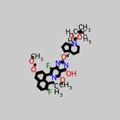 CCc1c(F)ccc2cc(OCOC)cc(-c3nc(OC)c4c(O)nc(OC[C@]56CCC[C@H]5N(C(=O)OC(C)(C)C)CCC6)nc4c3F)c12